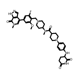 COc1cc(-c2cn(C)c(=O)c3[nH]ncc23)cc(F)c1CN1CCC(N(C)C(=O)C2CCN(c3ccc(NC4CCC(=O)NC4=O)cc3)CC2)CC1